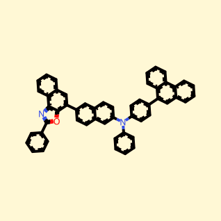 c1ccc(-c2nc3c(o2)c(-c2ccc4cc(N(c5ccccc5)c5ccc(-c6cc7ccccc7c7ccccc67)cc5)ccc4c2)cc2ccccc23)cc1